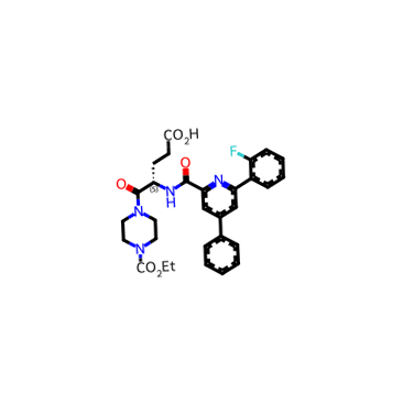 CCOC(=O)N1CCN(C(=O)[C@H](CCC(=O)O)NC(=O)c2cc(-c3ccccc3)cc(-c3ccccc3F)n2)CC1